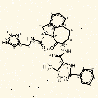 C[C@@H]([C@H](NC(=O)c1ccccc1)C(=O)N[C@H]1CCc2cccc3c2N(C1=O)[C@H](C(=O)NCc1c[nH]nn1)C3)C(F)(F)F